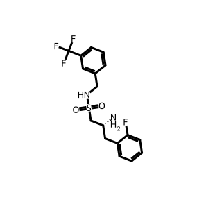 N[C@H](Cc1ccccc1F)CS(=O)(=O)NCc1cccc(C(F)(F)F)c1